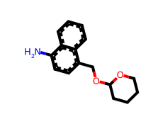 Nc1ccc(COC2CCCCO2)c2ccccc12